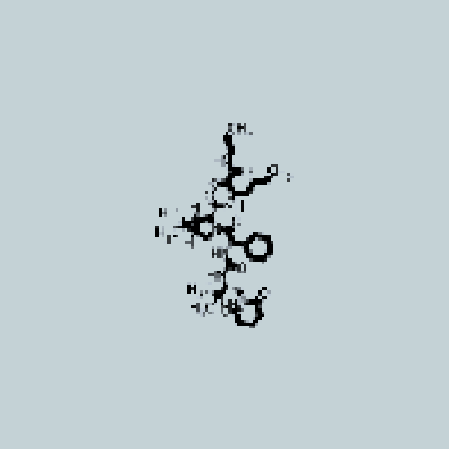 C=CCNC(=O)C(=O)C(CCCC)NC(=O)[C@@H]1[C@@H]2[C@H](CN1C(=O)[C@@H](NC(=O)N[C@H](CN1C(=O)CCCC1=O)C(C)(C)C)C1CCCCC1)C2(C)C